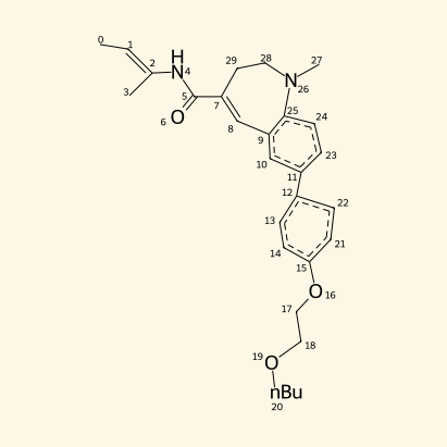 C/C=C(\C)NC(=O)C1=Cc2cc(-c3ccc(OCCOCCCC)cc3)ccc2N(C)CC1